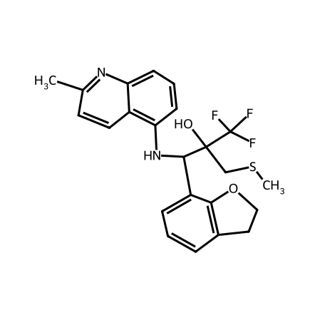 CSCC(O)(C(Nc1cccc2nc(C)ccc12)c1cccc2c1OCC2)C(F)(F)F